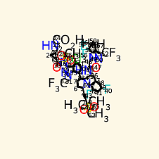 CC(C)(C#Cc1ccc(-c2ccc(Cl)c3c(N(C(=O)[C@H]4C[C@H]4CNC(=O)O)S(C)(=O)=O)nn(CC(F)(F)F)c23)c(C(Cc2cc(F)cc(F)c2)NC(=O)Cn2nc(C(F)(F)F)c3c2C(F)(F)[C@@H]2C[C@H]32)n1)S(C)(=O)=O